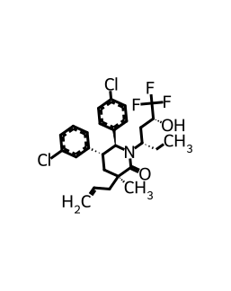 C=CC[C@@]1(C)C[C@H](c2cccc(Cl)c2)[C@@H](c2ccc(Cl)cc2)N([C@@H](CC)C[C@@H](O)C(F)(F)F)C1=O